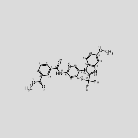 COC(=O)c1cccc(C(=O)Nc2ccc(-n3c(C(F)(F)F)nc4cc(OC)ccc43)cn2)c1